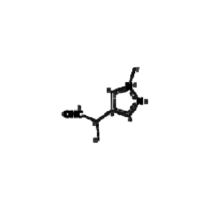 CC([C]=O)c1cnn(C)c1